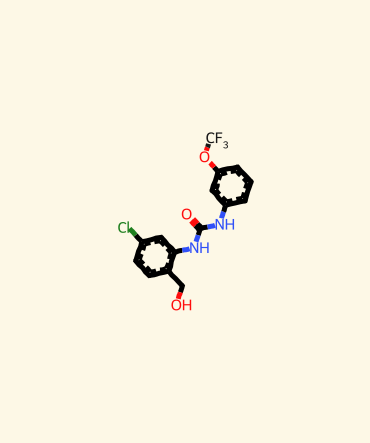 O=C(Nc1cccc(OC(F)(F)F)c1)Nc1cc(Cl)ccc1CO